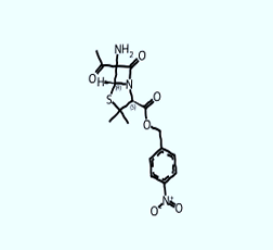 CC(=O)C1(N)C(=O)N2[C@@H](C(=O)OCc3ccc([N+](=O)[O-])cc3)C(C)(C)S[C@@H]21